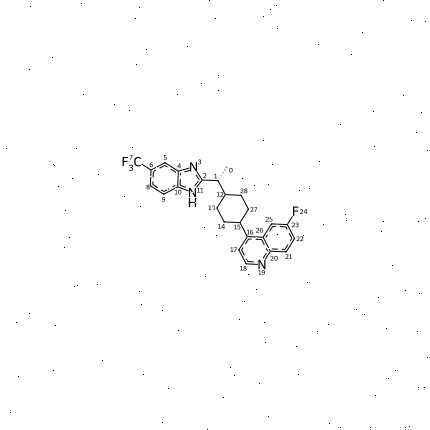 C[C@@H](c1nc2cc(C(F)(F)F)ccc2[nH]1)C1CCC(c2ccnc3ccc(F)cc23)CC1